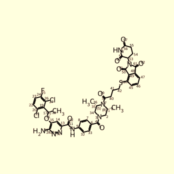 C[C@@H]1CN(C(=O)c2ccc(NC(=O)c3cc(O[C@H](C)c4c(Cl)ccc(F)c4Cl)c(N)nn3)cc2)C[C@H](C)N1C(=O)CCCSc1cccc2c1C(=O)N(C1CCC(=O)NC1=O)C2=O